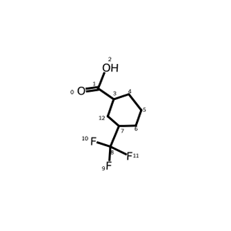 O=C(O)C1CCCC(C(F)(F)F)C1